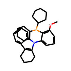 COc1cccc(-n2c3c(c4ccccc42)CCCC3)c1P(C1CCCCC1)C1CCCCC1